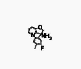 Cc1ccc([C@@]2(N)COc3cccnc32)cc1F